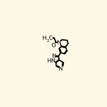 C=CC(=O)N1CCCc2ccc(-c3n[nH]c4cnccc34)cc21